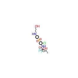 C[C@@](O)(C(=O)Nc1ccc(S(=O)(=O)c2ccc(NCCCCO)cc2)cc1Cl)C(F)(F)F